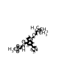 C[Si](C)(C)CCOCn1ccc2c(C(=O)NCCS(C)(=O)=O)cc(-c3cncs3)cc21